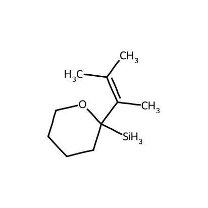 CC(C)=C(C)C1([SiH3])CCCCO1